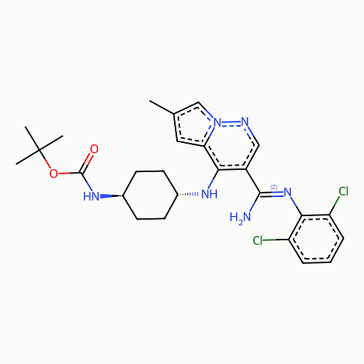 Cc1cc2c(N[C@H]3CC[C@H](NC(=O)OC(C)(C)C)CC3)c(/C(N)=N/c3c(Cl)cccc3Cl)cnn2c1